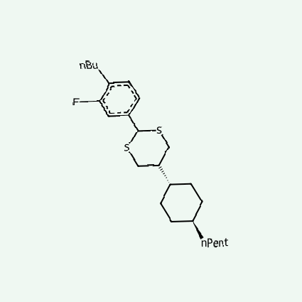 CCCCC[C@H]1CC[C@H](C2CSC(c3ccc(CCCC)c(F)c3)SC2)CC1